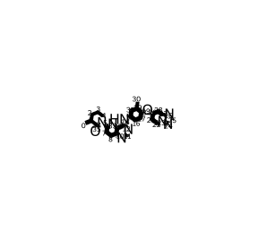 C=C1CCCN(c2ccc3ncnc(Nc4ccc(Oc5ccn6ncnc6c5)c(C)c4)c3n2)C1=O